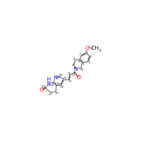 COc1ccc2c(c1)CCN(C(=O)C=Cc1cnc3c(c1)CCC(=O)N3)C2